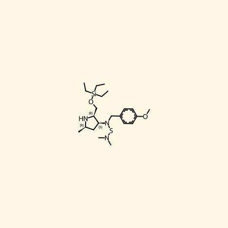 CC[Si](CC)(CC)OC[C@@H]1N[C@H](C)C[C@@H]1N(Cc1ccc(OC)cc1)SN(C)C